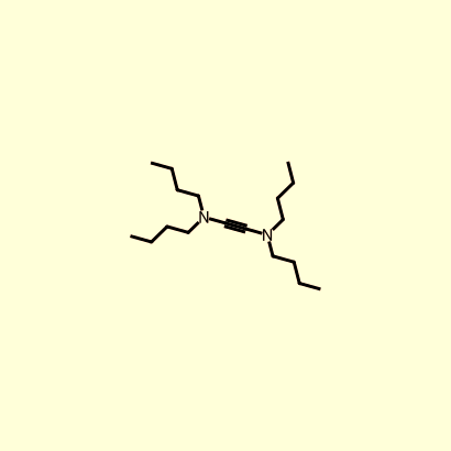 CCCCN(C#CN(CCCC)CCCC)CCCC